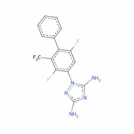 Nc1nc(N)n(-c2cc(F)c(-c3ccccc3)c(C(F)(F)F)c2F)n1